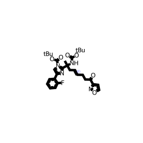 CC(C)(C)OC(=O)NC(C)(C/C=C/CCC(=O)c1ccon1)c1nc(-c2ccccc2F)cn1C(=O)OC(C)(C)C